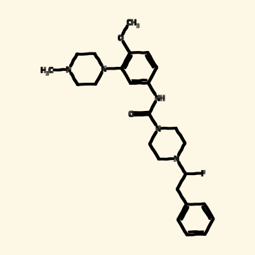 COc1ccc(NC(=O)N2CCN(C(F)Cc3ccccc3)CC2)cc1N1CCN(C)CC1